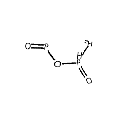 [2H][PH](=O)OP=O